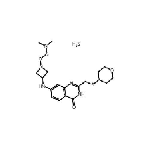 CN(C)SON1CC(Nc2ccc3c(=O)[nH]c(CSC4CCOCC4)nc3c2)C1.S